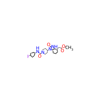 COC(=O)Cc1cccc2c1[nH]c(=O)n2C1CCN(C(=O)Nc2ccc(I)cc2)CC1